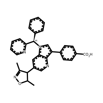 CC1=NOC(C)C1c1cnc2c(-c3ccc(C(=O)O)cc3)cn([C@H](c3ccccc3)c3ccccn3)c2c1